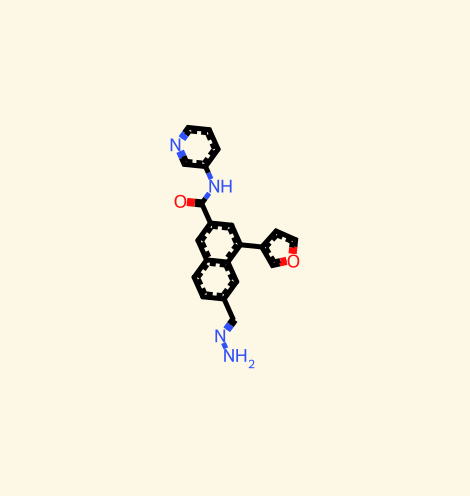 NN=Cc1ccc2cc(C(=O)Nc3cccnc3)cc(-c3ccoc3)c2c1